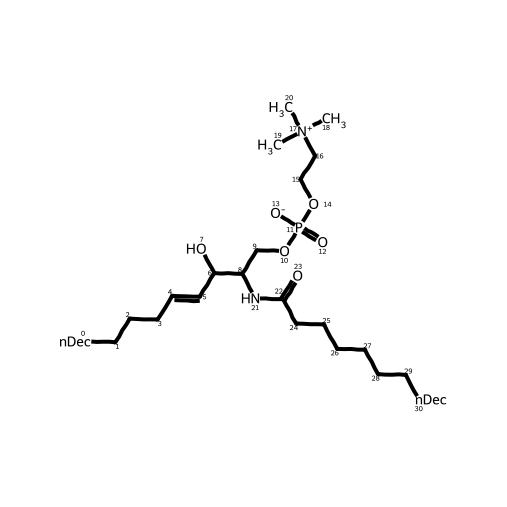 CCCCCCCCCCCCC/C=C/C(O)C(COP(=O)([O-])OCC[N+](C)(C)C)NC(=O)CCCCCCCCCCCCCCCC